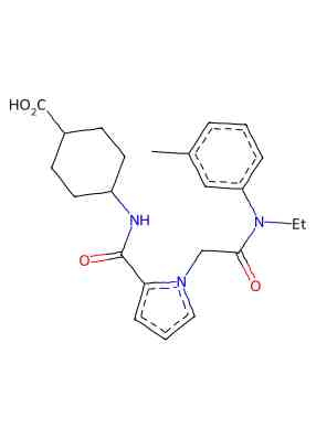 CCN(C(=O)Cn1cccc1C(=O)NC1CCC(C(=O)O)CC1)c1cccc(C)c1